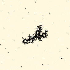 CC1(OC(=O)c2ccccc2)CC(Nc2nc(=O)c(-c3cccc(F)c3)c3cc(C(F)(F)F)ccn23)C1